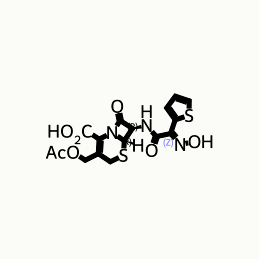 CC(=O)OCC1=C(C(=O)O)N2C(=O)[C@@H](NC(=O)/C(=N/O)c3cccs3)[C@H]2SC1